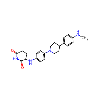 CNc1ccc(C2CCN(c3ccc(NC4CCC(=O)NC4=O)cc3)CC2)cc1